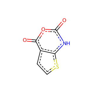 O=c1[nH]c2sccc2c(=O)o1